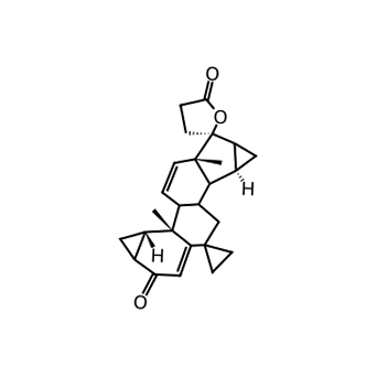 C[C@@]12C(=CC(=O)C3C[C@@H]31)C1(CC1)CC1C2C=C[C@@]2(C)C1[C@@H]1CC1[C@@]21CCC(=O)O1